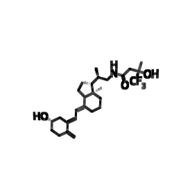 C=C1CC[C@H](O)CC1=CC=C1CCC[C@@]2(C)C1CC[C@@H]2[C@@H](C)CNC(=O)C[C@](C)(O)C(F)(F)F